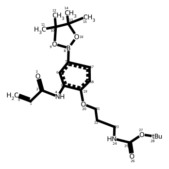 C=CC(=O)Nc1cc(B2OC(C)(C)C(C)(C)O2)ccc1OCCCNC(=O)OC(C)(C)C